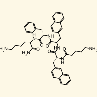 NCCCCC(=O)N[C@H](Cc1ccc2ccccc2c1)C(=O)N[C@H](Cc1ccc2ccccc2c1)C(=O)N[C@@H](Cc1ccccc1)C(=O)N[C@@H](CCCCN)C(N)=O